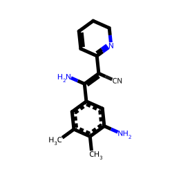 Cc1cc(/C(N)=C(\C#N)C2=NCCC=C2)cc(N)c1C